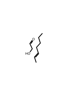 CC=CCCCC.O=CCO